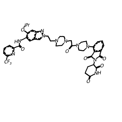 CC(C)Oc1cc2nn(CCN3CCN(CC(=O)N4CCN(c5cccc6c5C(=O)N(C5CCC(=O)NC5=O)C6=O)CC4)CC3)cc2cc1NC(=O)c1cccc(C(F)(F)F)n1